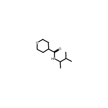 CC(C)C(C)NC(=O)C1CCOCC1